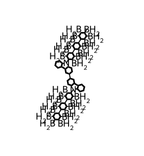 Bc1c(B)c(B)c(-c2c(B)c(B)c(-c3c(B)c(B)c(-n4c5ccccc5c5cc(-c6ccc7c(c6)c6ccccc6n7-c6c(B)c(B)c(-c7c(B)c(B)c(-c8c(B)c(B)c(B)c(B)c8B)c(B)c7B)c(B)c6B)ccc54)c(B)c3B)c(B)c2B)c(B)c1B